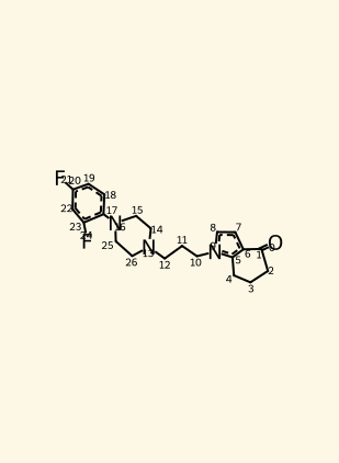 O=C1CCCc2c1ccn2CCCN1CCN(c2ccc(F)cc2F)CC1